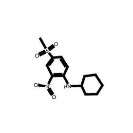 CS(=O)(=O)c1ccc(NC2CCCCC2)c([N+](=O)[O-])c1